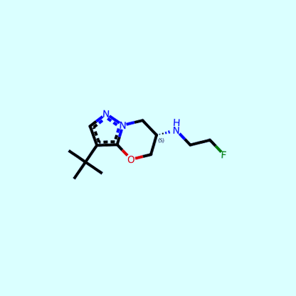 CC(C)(C)c1cnn2c1OC[C@@H](NCCF)C2